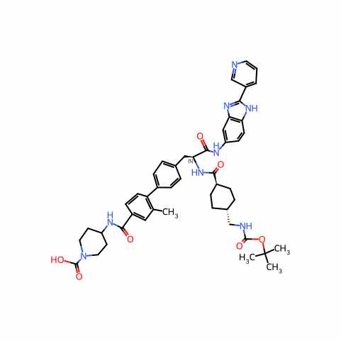 Cc1cc(C(=O)NC2CCN(C(=O)O)CC2)ccc1-c1ccc(C[C@H](NC(=O)[C@H]2CC[C@H](CNC(=O)OC(C)(C)C)CC2)C(=O)Nc2ccc3[nH]c(-c4cccnc4)nc3c2)cc1